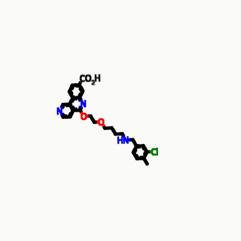 Cc1ccc(CNCCCCOCCOc2nc3cc(C(=O)O)ccc3c3cnccc23)cc1Cl